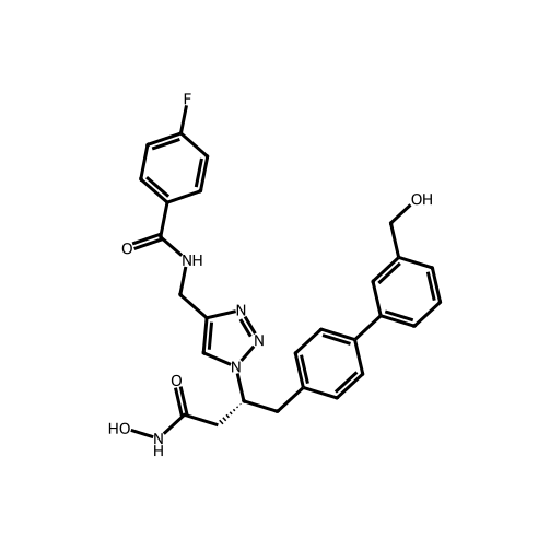 O=C(C[C@@H](Cc1ccc(-c2cccc(CO)c2)cc1)n1cc(CNC(=O)c2ccc(F)cc2)nn1)NO